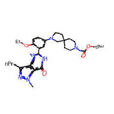 CCCc1nn(C)c2c(=O)[nH]c(-c3cc(N4CCC5(CCN(C(=O)OC(C)(C)C)CC5)C4)ccc3OCC)nc12